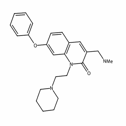 CNCc1cc2ccc(Oc3ccccc3)cc2n(CCN2CCCCC2)c1=O